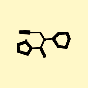 C#CCN(C(=O)c1cccs1)c1ccccc1